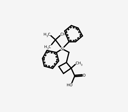 CC1(C(=O)O)CCC1C[Si](c1ccccc1)(c1ccccc1)C(C)(C)C